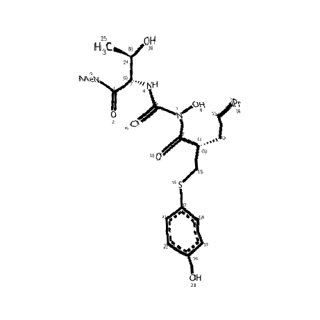 CNC(=O)[C@@H](NC(=O)N(O)C(=O)[C@H](CCC(C)C)CSc1ccc(O)cc1)[C@@H](C)O